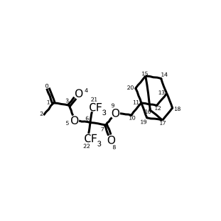 C=C(C)C(=O)OC(C(=O)OCC12CC3CC(CC(C3)C1)C2)(C(F)(F)F)C(F)(F)F